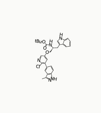 Cc1n[nH]c2ccc(-c3cc(OC[C@H](Cc4c[nH]c5ccccc45)NC(=O)OC(C)(C)C)cnc3Cl)cc12